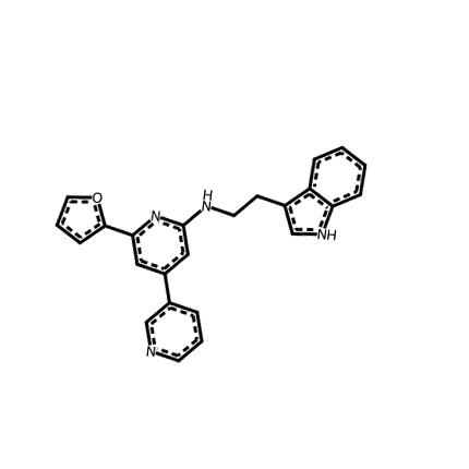 c1cncc(-c2cc(NCCc3c[nH]c4ccccc34)nc(-c3ccco3)c2)c1